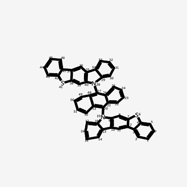 c1ccc2c(c1)sc1cc3c(cc12)c1ccccc1n3-c1c2ccccc2c(-n2c3ccccc3c3cc4c(cc32)sc2ccccc24)c2ccccc12